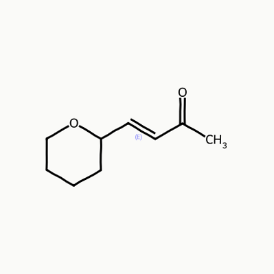 CC(=O)/C=C/C1CCCCO1